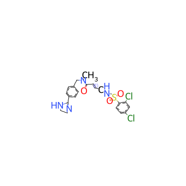 CN(Cc1ccc(C2=NCCN2)cc1)C(=O)/C=C/CNCS(=O)(=O)c1ccc(Cl)cc1Cl